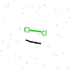 CC.ClCl